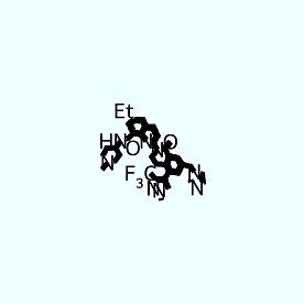 CCc1cc(C(=O)NC2CCN(C)CC2)c2nc(N3CCc4c(cc(Cn5ccnc5)cc4-c4cn(C)nc4C(F)(F)F)C3=O)ccc2c1